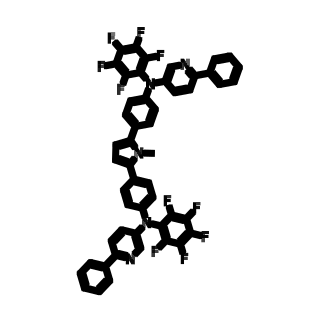 Cn1c(-c2ccc(N(c3ccc(-c4ccccc4)nc3)c3c(F)c(F)c(F)c(F)c3F)cc2)ccc1-c1ccc(N(c2ccc(-c3ccccc3)nc2)c2c(F)c(F)c(F)c(F)c2F)cc1